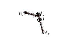 CCCCCCCCCCCCCCCCCC(=O)NCCCC[C@H](NC(=O)CCCCCCCCCCCCCCCCC)C(=O)OC